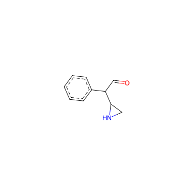 O=CC(c1ccccc1)C1CN1